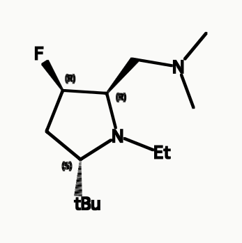 CCN1[C@H](CN(C)C)[C@H](F)C[C@H]1C(C)(C)C